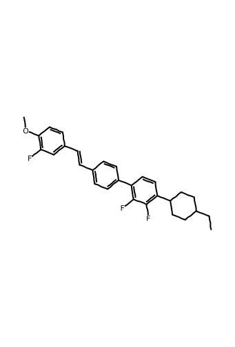 CCC1CCC(c2ccc(-c3ccc(/C=C/c4ccc(OC)c(F)c4)cc3)c(F)c2F)CC1